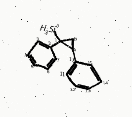 [SiH3]C1(c2ccccc2)CC1c1ccccc1